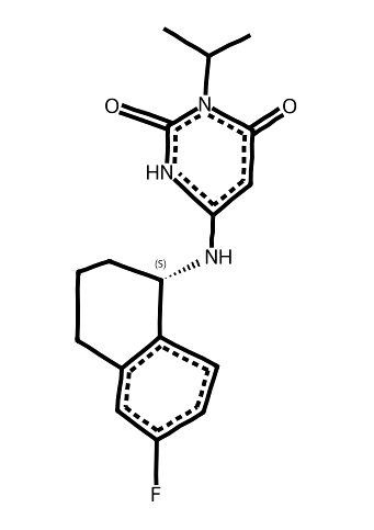 CC(C)n1c(=O)cc(N[C@H]2CCCc3cc(F)ccc32)[nH]c1=O